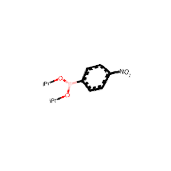 CC(C)OB(OC(C)C)c1ccc([N+](=O)[O-])cc1